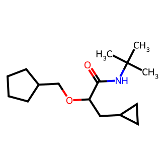 CC(C)(C)NC(=O)C(CC1CC1)OCC1CCCC1